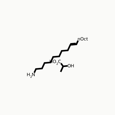 CC(O)C(=O)O.CCCCCCCCC=CCCCCCCCCN